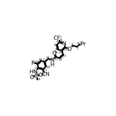 CC(C)CCOc1nc(C(F)(F)F)ccc1/C=C\C(=O)NCc1cc(F)c(NS(C)(=O)=O)c(C#N)c1